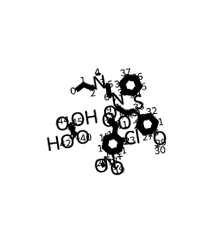 CCCN(C)CCN1C(=O)[C@H](OC(=O)c2ccc([N+](=O)[O-])cc2Cl)[C@H](c2ccc(OC)cc2)Sc2ccccc21.O=C(O)C(=O)O